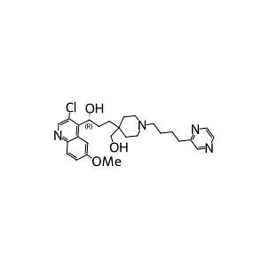 COc1ccc2ncc(Cl)c([C@H](O)CCC3(CO)CCN(CCCCc4cnccn4)CC3)c2c1